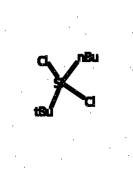 CCCC[Si](Cl)(Cl)C(C)(C)C